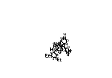 CCc1cc(CC)cc(NC(=O)NS(=O)(=O)N(c2cnn(C)c2)C2CCN(C)CC2)c1.[Na]